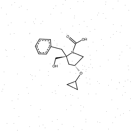 O=C(O)N1C[C@H](OC2CC2)C[C@]1(CO)Cc1ccccc1